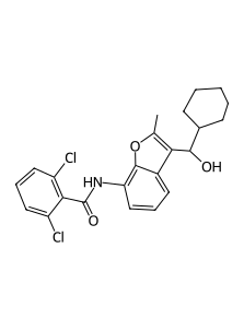 Cc1oc2c(NC(=O)c3c(Cl)cccc3Cl)cccc2c1C(O)C1CCCCC1